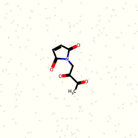 CC(=O)C(=O)CN1C(=O)C=CC1=O